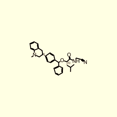 CC(C)C[C@H](OC(c1ccccc1)c1ccc([C@H]2Cc3ccccc3N(C)C2)cc1)C(=O)NCC#N